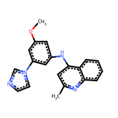 COc1cc(Nc2cc(C)nc3ccccc23)cc(-n2ccnc2)c1